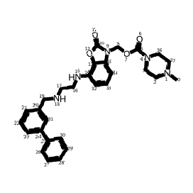 CN1CCN(C(=O)OCn2c(=O)oc3c(NCCNCc4cccc(-c5ccccc5)c4)cccc32)CC1